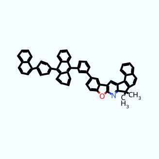 CC1(C)c2ccc3ccccc3c2-c2cc3c(nc21)oc1ccc(-c2cccc(-c4c5ccccc5c(-c5ccc(-c6cccc7ccccc67)cc5)c5ccccc45)c2)cc13